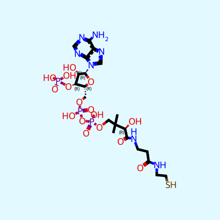 CC(C)(COP(=O)(O)OP(=O)(O)OC[C@H]1O[C@@H](n2cnc3c(N)ncnc32)[C@@H](O)[C@H]1OP(=O)(O)O)[C@@H](O)C(=O)NCCC(=O)NCCS